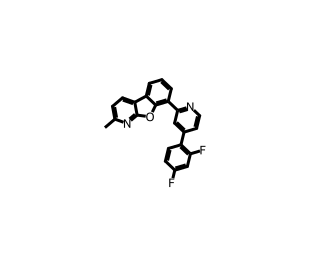 Cc1ccc2c(n1)oc1c(-c3cc(-c4ccc(F)cc4F)ccn3)cccc12